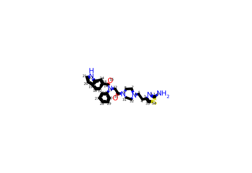 Nc1nc(CCN2CCN(C(=O)CN(C(=O)c3ccc4cc[nH]c4c3)c3ccccc3)CC2)cs1